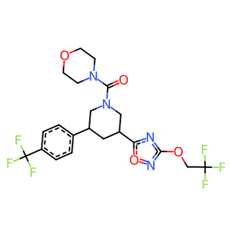 O=C(N1CCOCC1)N1CC(c2ccc(C(F)(F)F)cc2)CC(c2nc(OCC(F)(F)F)no2)C1